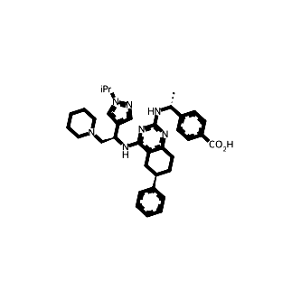 CC(C)n1cc([C@H](CN2CCCCC2)Nc2nc(N[C@H](C)c3ccc(C(=O)O)cc3)nc3c2C[C@H](c2ccccc2)CC3)cn1